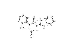 Cc1cccnc1[C@@H]1CC(=O)C[C@H](c2nc3ccccc3[nH]2)N1C